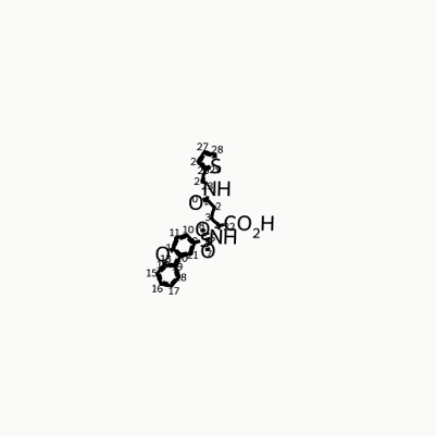 O=C(CCC(NS(=O)(=O)c1ccc2oc3ccccc3c2c1)C(=O)O)NCc1cccs1